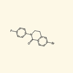 O=C1c2ccc(Br)cc2CCN1c1ccc(F)cc1